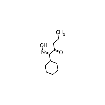 CCCC(=O)C(=NO)C1CCCCC1